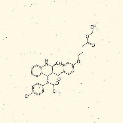 CCOC(=O)CCCOc1ccc(C(=O)C2[C@H](C)Nc3ccccc3[C@@H]2N(C(C)=O)c2ccc(Cl)cc2)cc1